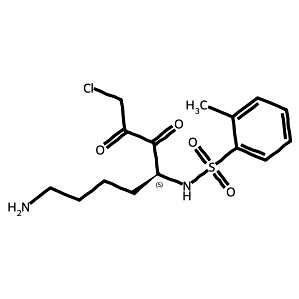 Cc1ccccc1S(=O)(=O)N[C@@H](CCCCN)C(=O)C(=O)CCl